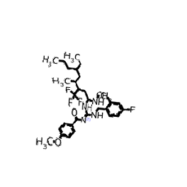 CCCC(CC)CC(C)C(CC(NC)N/C(=N\C(=O)c1ccc(OC)cc1)NCc1ccc(F)cc1Cl)C(F)(F)F